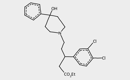 CCOC(=O)CC(CCN1CCC(O)(c2ccccc2)CC1)c1ccc(Cl)c(Cl)c1